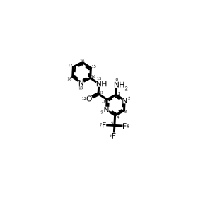 Nc1ncc(C(F)(F)F)nc1C(=O)Nc1ccccn1